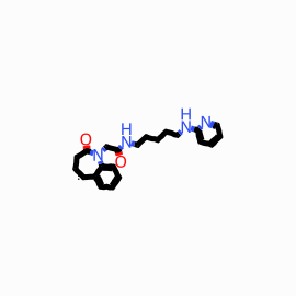 O=C(CN1C(=O)CC[C]c2ccccc21)NCCCCCNc1ccccn1